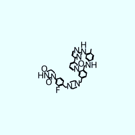 Cc1ccc(NC(=O)c2ccc(CN3CCN(Cc4ccc(N5CCC(=O)NC5=O)cc4F)CC3)cc2)cc1Nc1nccc(-c2cccnc2)n1